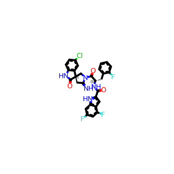 N=C1C[C@@]2(CN1C(=O)[C@H](Cc1ccccc1F)NC(=O)c1cc3c(F)cc(F)cc3[nH]1)C(=O)Nc1ccc(Cl)cc12